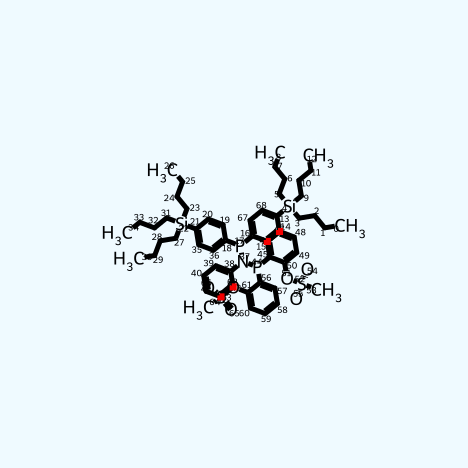 CCCC[Si](CCCC)(CCCC)c1ccc(P(c2ccc([Si](CCCC)(CCCC)CCCC)cc2)N(c2ccccc2)P(c2ccccc2OS(C)(=O)=O)c2ccccc2OS(C)(=O)=O)cc1